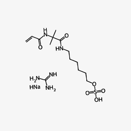 C=CC(=O)NC(C)(C)C(=O)NCCCCCCOS(=O)(=O)O.N=C(N)N.[NaH]